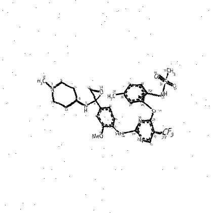 COc1cc(C2(NC3CCN(C)CC3)CO2)ccc1Nc1ncc(C(F)(F)F)c(Oc2cc(C)ccc2NS(C)(=O)=O)n1